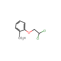 O=C(O)c1ccccc1OCC(Cl)Cl